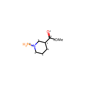 COC(=O)C1CCCN(P)C1